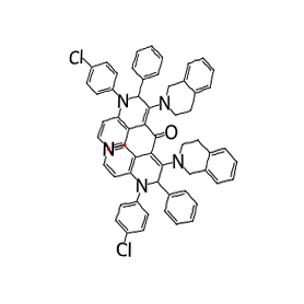 O=C(C1=C(N2CCc3ccccc3C2)C(c2ccccc2)N(c2ccc(Cl)cc2)c2ccncc21)C1=C(N2CCc3ccccc3C2)C(c2ccccc2)N(c2ccc(Cl)cc2)c2ccncc21